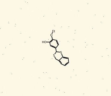 CCOc1ccc(C2SCc3ccccc3S2)cc1O